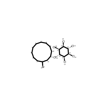 BrC1CCCCCCCCCCC1.Cl[C@H]1[C@H](Cl)[C@@H](Cl)[C@@H](Cl)[C@H](Cl)[C@H]1Cl